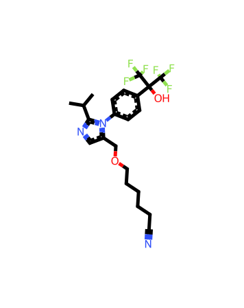 CC(C)c1ncc(COCCCCCC#N)n1-c1ccc(C(O)(C(F)(F)F)C(F)(F)F)cc1